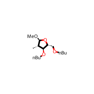 CCCCOC[C@H]1O[C@H](OC)[C@@H](C)[C@@H]1OCCCC